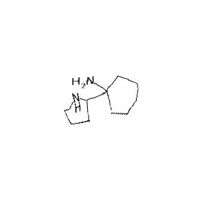 NC1(C2CCCN2)CCCCC1